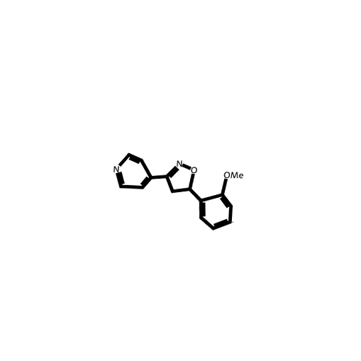 COc1c[c]ccc1C1CC(c2ccncc2)=NO1